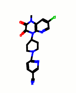 Cn1c(=O)c(=O)n(C2CCN(c3ccc(C#N)cn3)CC2)c2ncc(Cl)cc21